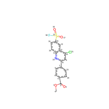 COC(=O)c1ccc(-c2cc(Cl)c3cc(S(=O)(=O)F)ccc3n2)cc1